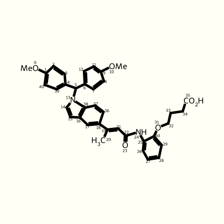 COc1ccc(C(c2ccc(OC)cc2)n2ccc3cc(/C(C)=C/C(=O)Nc4ccccc4OCCCC(=O)O)ccc32)cc1